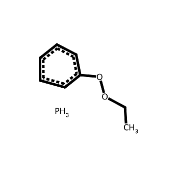 CCOOc1ccccc1.P